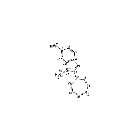 CCCc1ccc2cc(C3CCCCCC3)[s+](C(F)(F)F)c2c1